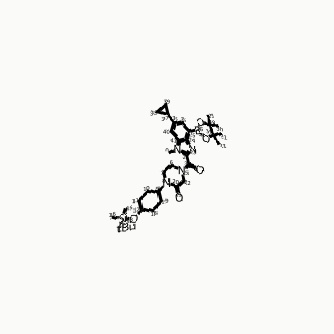 Cn1c(C(=O)N2CCN(C3CCC(O[Si](C)(C)C(C)(C)C)CC3)C(=O)C2)nc2c(B3OC(C)(C)C(C)(C)O3)cc(C3CC3)cc21